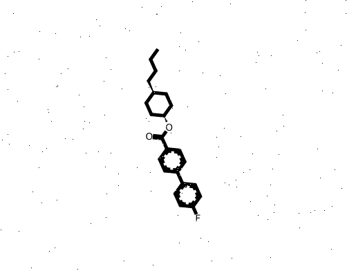 CCCC[C@H]1CC[C@H](OC(=O)c2ccc(-c3ccc(F)cc3)cc2)CC1